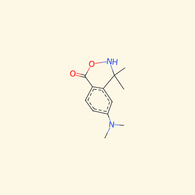 CN(C)c1ccc2c(c1)C(C)(C)NOC2=O